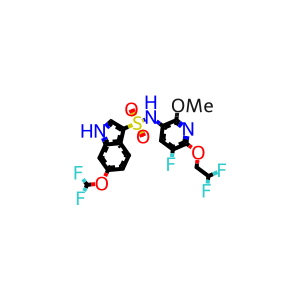 COc1nc(OCC(F)F)c(F)cc1NS(=O)(=O)c1c[nH]c2cc(OC(F)F)ccc12